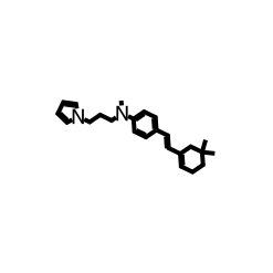 CN(CCCn1cccc1)c1ccc(C=CC2=CCCC(C)(C)C2)cc1